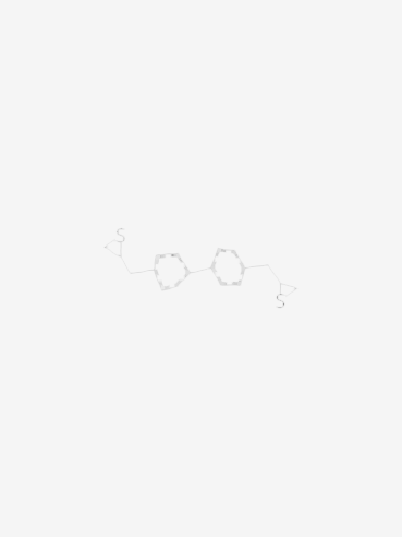 c1cc(-c2ccc(CC3CS3)cc2)ccc1CC1CS1